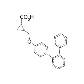 O=C(O)C1CC1COc1ccc(-c2ccccc2-c2ccccc2)cc1